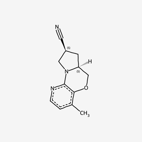 Cc1ccnc2c1OC[C@@H]1C[C@H](C#N)CN21